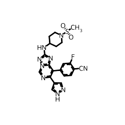 CS(=O)(=O)N1CCC(Nc2nc3c(-c4ccc(C#N)c(F)c4)c(-c4cn[nH]c4)ncn3n2)CC1